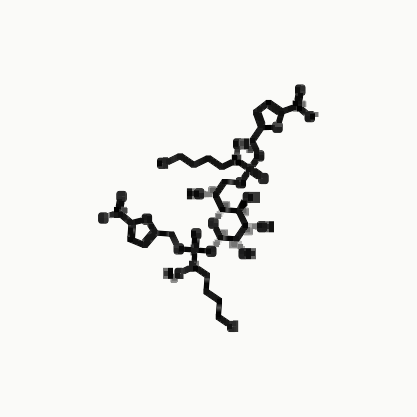 CN(CCCCCl)P(=O)(OCc1ccc([N+](=O)[O-])o1)OC[C@@H](O)[C@H]1O[C@@H](OP(=O)(OCc2ccc([N+](=O)[O-])o2)N(C)CCCCCl)[C@@H](O)[C@@H](O)[C@@H]1O